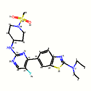 CCN(CC)c1nc2ccc(-c3nc(NC4CCN(S(C)(=O)=O)CC4)ncc3F)cc2s1